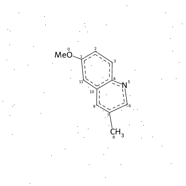 COc1ccc2n[c]c(C)cc2c1